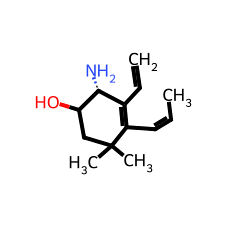 C=CC1=C(/C=C\C)C(C)(C)CC(O)[C@@H]1N